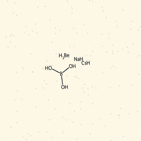 OB(O)O.[BeH2].[CsH].[NaH]